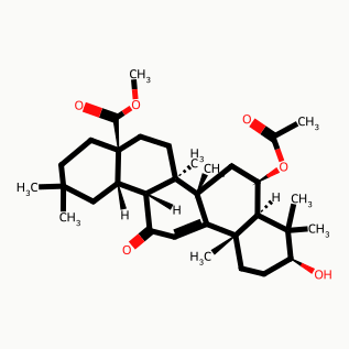 COC(=O)[C@]12CCC(C)(C)C[C@H]1[C@H]1C(=O)C=C3[C@@]4(C)CC[C@H](O)C(C)(C)[C@@H]4[C@H](OC(C)=O)C[C@@]3(C)[C@]1(C)CC2